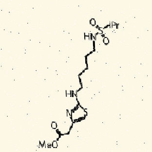 COC(=O)Cc1csc(NCCCCCNS(=O)(=O)C(C)C)n1